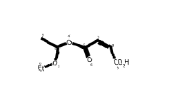 CCOC(C)OC(=O)/C=C\C(=O)O